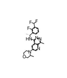 Cc1nnc(N[C@H](C)c2cccc(C(F)F)c2F)c2cc(N3CCOCC3C)cnc12